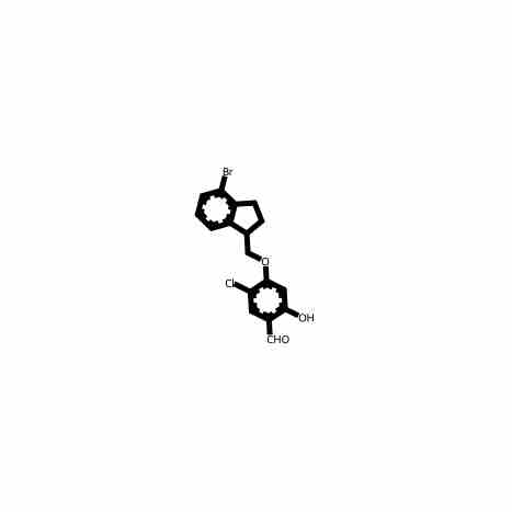 O=Cc1cc(Cl)c(OCC2CCc3c(Br)cccc32)cc1O